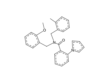 COc1ccccc1CN(Cc1ccccc1C)C(=O)c1ccccc1-n1cccc1